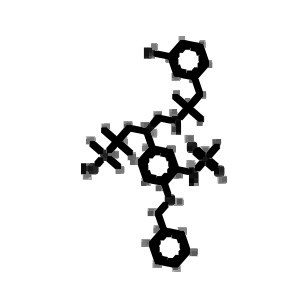 CC(C)(Cc1cccc(Br)c1)NC[C@H](CC(C)(C)[Si](C)(C)O)c1ccc(OCc2ccccc2)c(NS(C)(=O)=O)c1